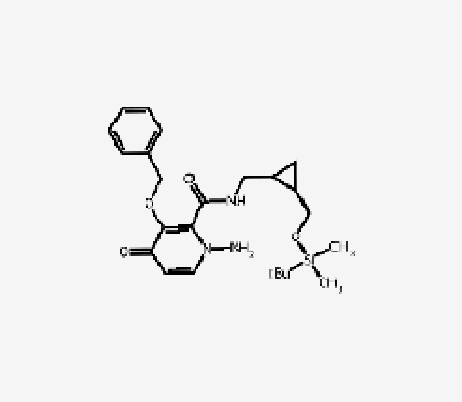 CC(C)(C)[Si](C)(C)OCC1CC1CNC(=O)c1c(OCc2ccccc2)c(=O)ccn1N